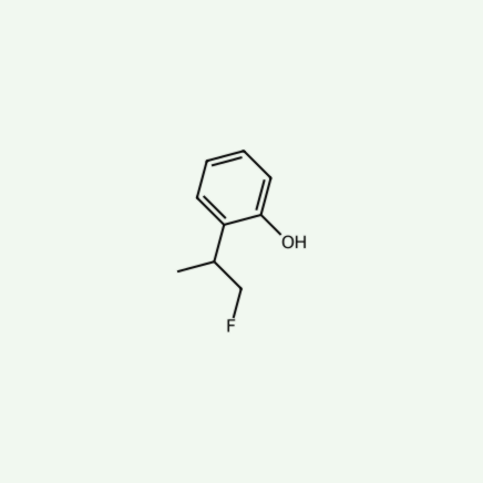 CC(CF)c1ccccc1O